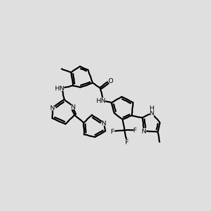 Cc1c[nH]c(-c2ccc(NC(=O)c3ccc(C)c(Nc4nccc(-c5cccnc5)n4)c3)cc2C(F)(F)F)n1